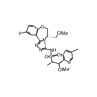 COC[C@H]1COc2ccc(F)cc2-c2nnc(NS(=O)(=O)C(C)C(OC)c3ncc(C)cn3)n21